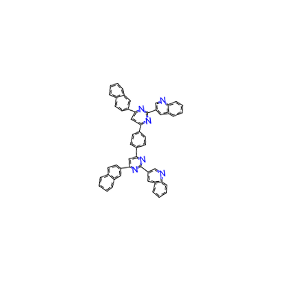 c1ccc2cc(-c3cc(-c4ccc(-c5cc(-c6ccc7ccccc7c6)nc(-c6cnc7ccccc7c6)n5)cc4)nc(-c4cnc5ccccc5c4)n3)ccc2c1